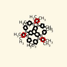 Cc1ccc(B(c2ccc(C)cc2)c2cc3c4cc(B(c5ccc(C)cc5)c5ccc(C)cc5)c(B(c5ccc(C)cc5)c5ccc(C)cc5)cc4c4cc(B(c5ccc(C)cc5)c5ccc(C)cc5)c(B(c5ccc(C)cc5)c5ccc(C)cc5)cc4c3cc2B(c2ccc(C)cc2)c2ccc(C)cc2)cc1